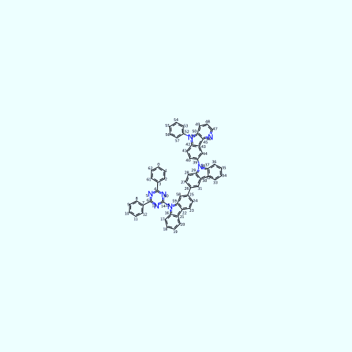 c1ccc(-c2nc(-c3ccccc3)nc(-n3c4ccccc4c4ccc(-c5ccc6c(c5)c5ccccc5n6-c5ccc6c(c5)c5ncccc5n6-c5ccccc5)cc43)n2)cc1